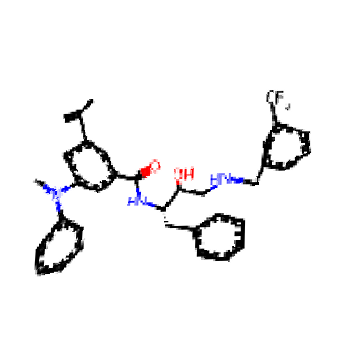 C=C(C)c1cc(C(=O)N[C@@H](Cc2ccccc2)C(O)CNCc2cccc(C(F)(F)F)c2)cc(N(C)c2ccccc2)c1